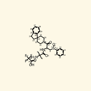 CC(C)(N)C(=O)NC(C[S+]([O-])c1ccccc1)C(=O)N1CCC2(CCc3ccccc32)CC1.O=C(O)C(F)(F)F